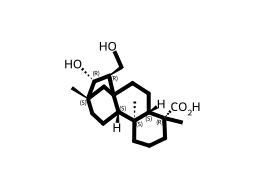 C[C@]12CC[C@@H]3C(CC[C@H]4[C@@]3(C)CCC[C@@]4(C)C(=O)O)(C1)[C@H](CO)[C@H]2O